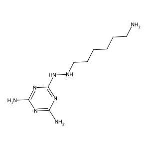 NCCCCCCNNc1nc(N)nc(N)n1